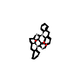 c1ccc2c(c1)Cc1ccccc1N2c1ncccc1-c1cccnc1N1c2ccccc2Cc2ccccc21